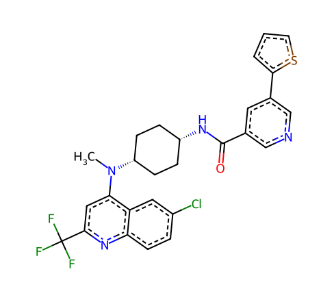 CN(c1cc(C(F)(F)F)nc2ccc(Cl)cc12)[C@H]1CC[C@@H](NC(=O)c2cncc(-c3cccs3)c2)CC1